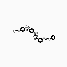 CCOc1ccc(NS(=O)(=O)c2ccc(NC(=S)NC(=O)c3cccc(OCCOc4ccccc4)c3)cc2)cc1